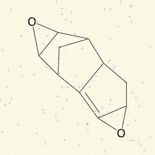 C1C2OC2=C2C1C1CC2C2OC12